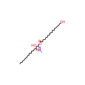 CCCCCCCCCCCCCCC(O)C(O)C(N)COC(=O)CCCCCCCCCCCCCCCCCO